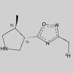 [2H]Cc1noc([C@@H]2CNC[C@H]2C)n1